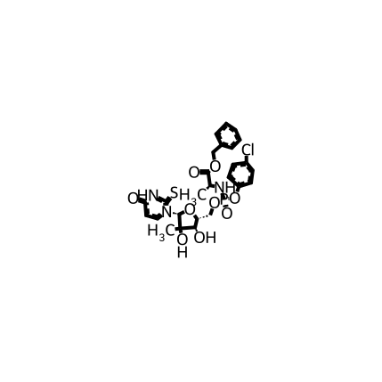 C[C@H](NP(=O)(OC[C@H]1O[C@@H](n2ccc(=O)[nH]c2=S)C(C)(O)[C@H]1O)Oc1ccc(Cl)cc1)C(=O)OCc1ccccc1